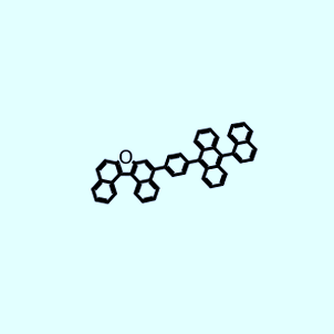 c1ccc2c(-c3c4ccccc4c(-c4ccc(-c5cc6oc7ccc8ccccc8c7c6c6ccccc56)cc4)c4ccccc34)cccc2c1